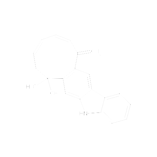 C=C1/C=C\C=C/CC(C)(C)c2cc3[nH]c4ccccc4c3cc21